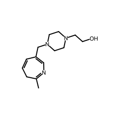 CC1=NC=C(CN2CCN(CCO)CC2)C=CC1